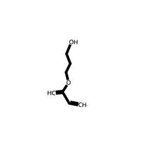 [CH]=CC(=[CH])OCCCO